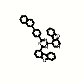 c1ccc2cc(-c3ccc(-c4nc(-c5cccc6oc7ccccc7c56)nc(-c5cncc6oc7ccccc7c56)n4)cc3)ccc2c1